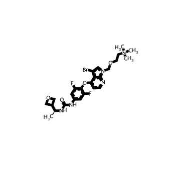 C[C@@H](NC(=O)Nc1cc(F)c(Oc2ccnc3c2c(Br)cn3COCC[Si](C)(C)C)c(F)c1)C1COC1